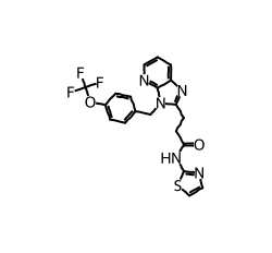 O=C(CCc1nc2cccnc2n1Cc1ccc(OC(F)(F)F)cc1)Nc1nccs1